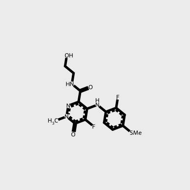 CSc1ccc(Nc2c(C(=O)NCCO)nn(C)c(=O)c2F)c(F)c1